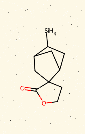 O=C1OCCC12CC1CC2CC1[SiH3]